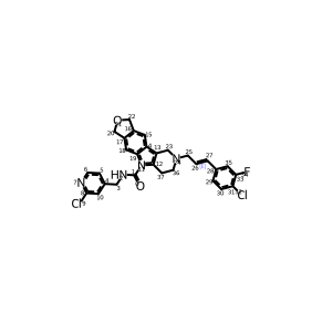 O=C(NCc1ccnc(Cl)c1)n1c2c(c3cc4c(cc31)COC4)CN(C/C=C/c1ccc(Cl)c(F)c1)CC2